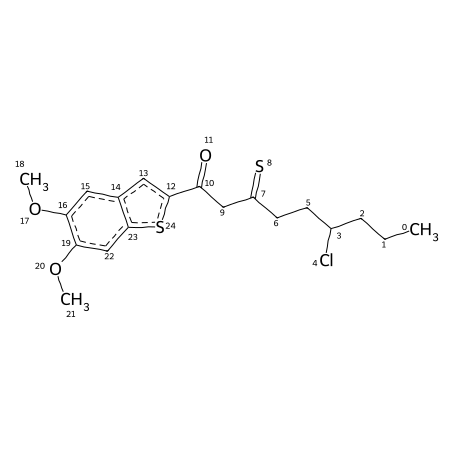 CCCC(Cl)CCC(=S)CC(=O)c1cc2cc(OC)c(OC)cc2s1